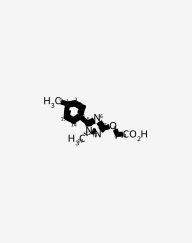 Cc1ccc(-c2nc(OCC(=O)O)nn2C)cc1